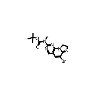 CN(C(=O)OC(C)(C)C)c1ncc2c(n1)N1CCN=C1C(Br)=C2